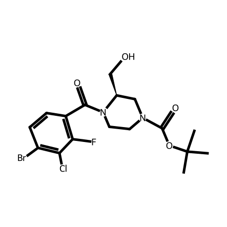 CC(C)(C)OC(=O)N1CCN(C(=O)c2ccc(Br)c(Cl)c2F)[C@@H](CO)C1